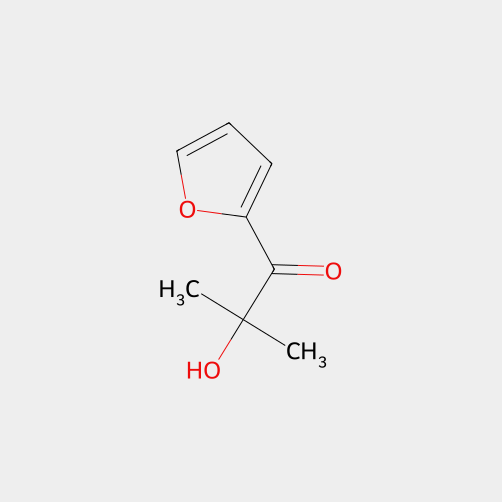 CC(C)(O)C(=O)c1ccco1